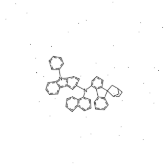 c1ccc(-n2c3ccccc3c3cc(N(c4cccc5c4-c4ccccc4C54CC5CCC4C5)c4cccc5ccccc45)ccc32)cc1